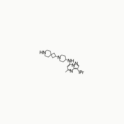 Cc1cc(NC2CCN(C3CC4(CCNCC4)C3)CC2)n2ncc(C(C)C)c2n1